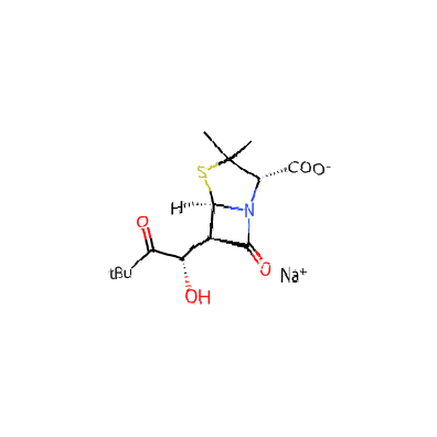 CC(C)(C)C(=O)[C@@H](O)[C@@H]1C(=O)N2[C@@H]1SC(C)(C)[C@@H]2C(=O)[O-].[Na+]